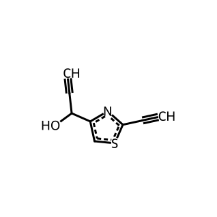 C#Cc1nc(C(O)C#C)cs1